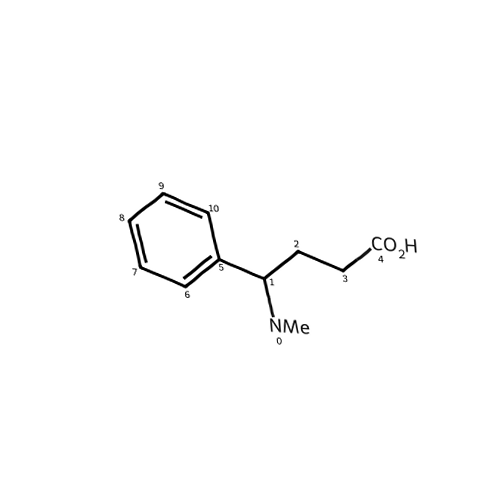 CNC(CCC(=O)O)c1ccccc1